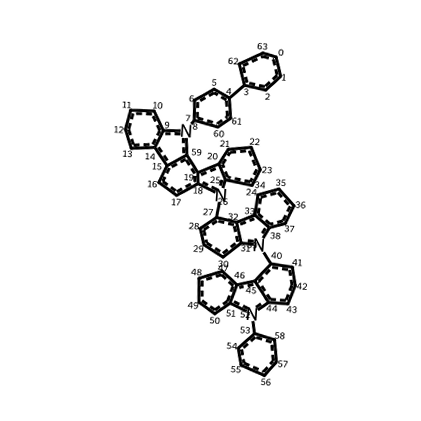 c1ccc(-c2ccc(-n3c4ccccc4c4ccc5c(c6ccccc6n5-c5cccc6c5c5ccccc5n6-c5cccc6c5c5ccccc5n6-c5ccccc5)c43)cc2)cc1